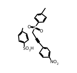 Cc1ccc(S(=O)(=O)CC#Cc2ccc([N+](=O)[O-])cc2)cc1.Cc1ccc(S(=O)(=O)O)cc1